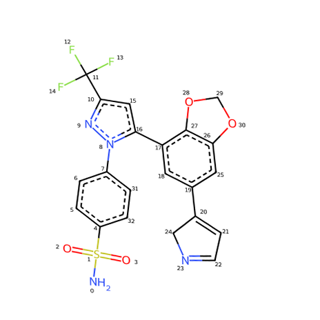 NS(=O)(=O)c1ccc(-n2nc(C(F)(F)F)cc2-c2cc(C3=CC=NC3)cc3c2OCO3)cc1